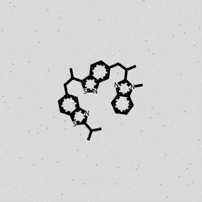 CC(C)c1nc2cc(CC(C)c3snc4cc(CC(C)c5nc6ccccc6n5C)ccc34)ccc2s1